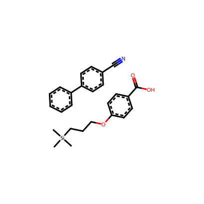 C[Si](C)(C)CCCOc1ccc(C(=O)O)cc1.N#Cc1ccc(-c2ccccc2)cc1